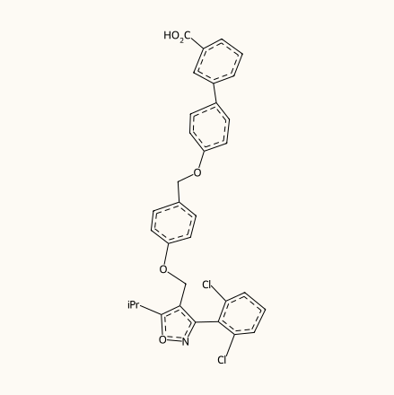 CC(C)c1onc(-c2c(Cl)cccc2Cl)c1COc1ccc(COc2ccc(-c3cccc(C(=O)O)c3)cc2)cc1